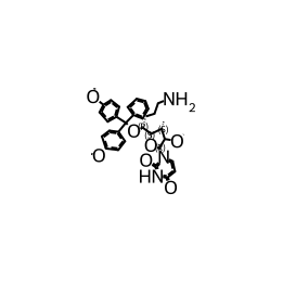 COc1ccc(C(O[C@H](CCCN)[C@H]2O[C@@H](n3ccc(=O)[nH]c3=O)C(OC)[C@H]2C)(c2ccccc2)c2ccc(OC)cc2)cc1